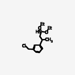 CCO[SiH](CC(C)c1cccc(CCl)c1)OCC